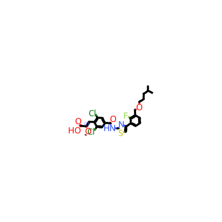 CO/C(=C\c1c(Cl)cc(C(=O)Nc2nc(-c3cccc(COCCCC(C)C)c3F)cs2)cc1Cl)C(=O)O